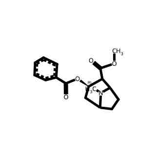 COC(=O)C1C2CCC(C[C@H]1OC(=O)c1ccccc1)N2C